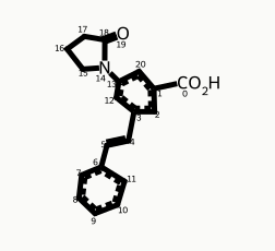 O=C(O)c1cc(/C=C/c2ccccc2)cc(N2CCCC2=O)c1